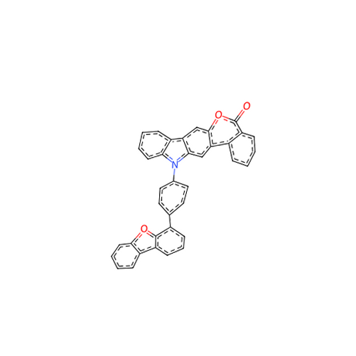 O=c1oc2cc3c4ccccc4n(-c4ccc(-c5cccc6c5oc5ccccc56)cc4)c3cc2c2ccccc12